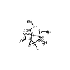 COC(=O)C1(N(C(=O)OC(C)(C)C)C(=O)OC(C)(C)C)C[C@@]1(F)CO